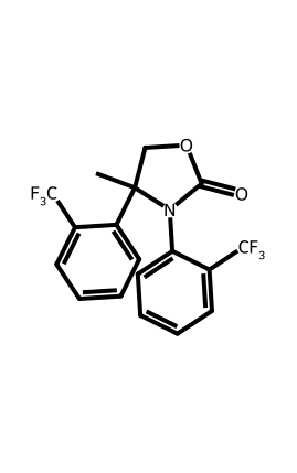 CC1(c2ccccc2C(F)(F)F)COC(=O)N1c1ccccc1C(F)(F)F